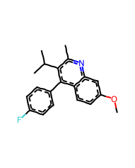 COc1ccc2c(-c3ccc(F)cc3)c(C(C)C)c(C)nc2c1